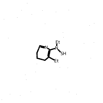 CCC1=C(N(S)CC)N=CCCC1